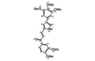 COc1ccc(C(=O)C=Cc2cc(-c3cc(OC)c(OC)c(OC)c3)n[nH]2)cc1OC